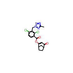 Cc1nnn(Cc2c(Cl)ccc(C(=O)OC3=CC(=O)C4CCC3C4)c2Cl)n1